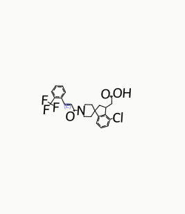 O=C(O)CC1CC2(CCN(C(=O)/C=C/c3ccccc3C(F)(F)F)CC2)c2cccc(Cl)c21